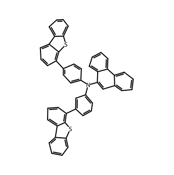 c1cc(-c2cccc3c2sc2ccccc23)cc(N(c2ccc(-c3cccc4c3sc3ccccc34)cc2)c2cc3ccccc3c3ccccc23)c1